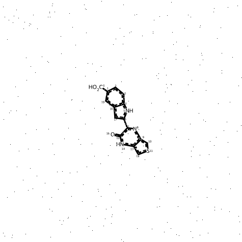 O=C(O)c1ccc2[nH]c(-c3nc4cscc4[nH]c3=O)cc2c1